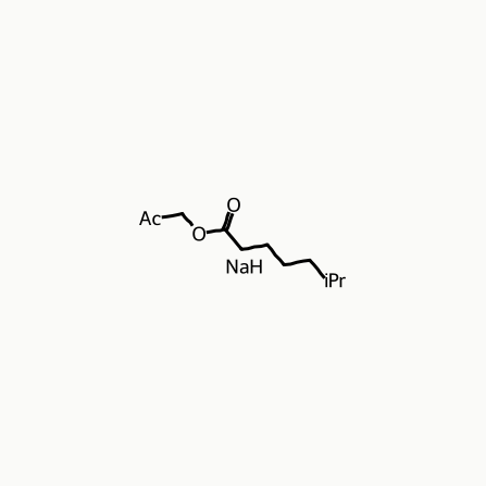 CC(=O)COC(=O)CCCCC(C)C.[NaH]